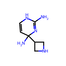 NC1=NC(N)(C2CNC2)C=CN1